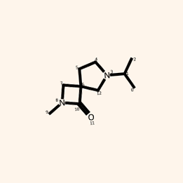 CC(C)N1CCC2(CN(C)C2=O)C1